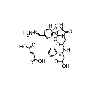 C[C@@]1(c2ccc(C=NN)cc2)NC(=O)N(CC(=O)N[C@@H](CC(=O)O)c2ccccc2)C1=O.O=C(O)C=CC(=O)O